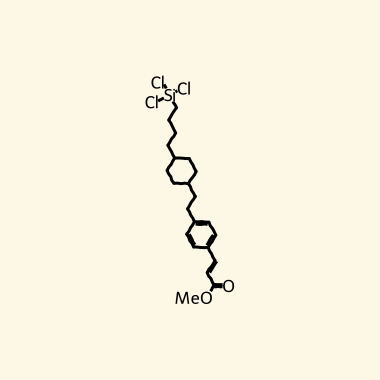 COC(=O)/C=C/c1ccc(CCC2CCC(CCCC[Si](Cl)(Cl)Cl)CC2)cc1